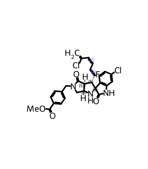 C=C(Cl)/C=C\C=C(/F)[C@H]1[C@@H]2C(=O)N(Cc3ccc(C(=O)OC)cc3)C[C@@H]2N[C@@]12C(=O)Nc1cc(Cl)ccc12